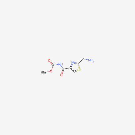 CC(C)(C)OC(=O)NC(=O)c1csc(CN)n1